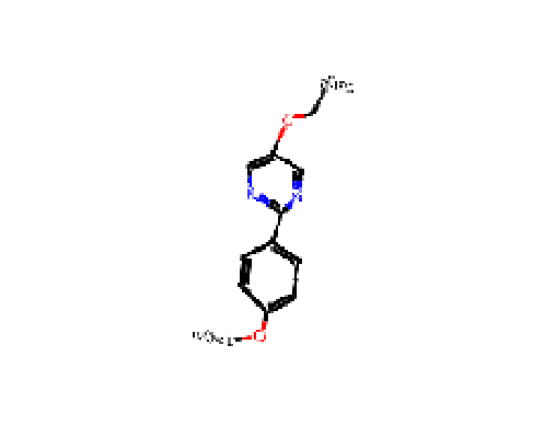 CCCCCCCCCCCOc1cnc(-c2ccc(OCCCCCCCC)cc2)nc1